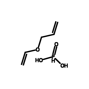 C=CCOC=C.O=[PH](O)O